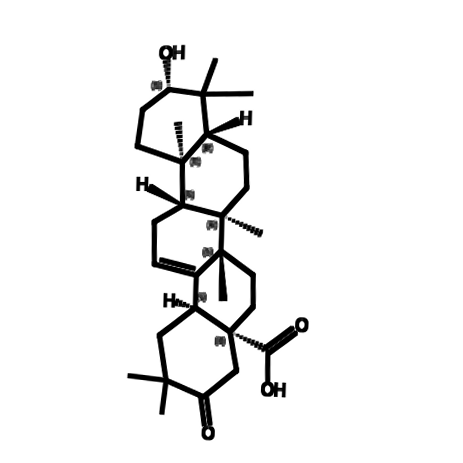 CC1(C)C[C@H]2C3=CC[C@@H]4[C@@]5(C)CC[C@H](O)C(C)(C)[C@@H]5CC[C@@]4(C)[C@]3(C)CC[C@@]2(C(=O)O)CC1=O